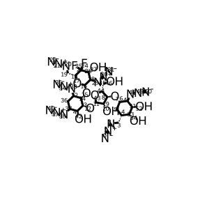 [N-]=[N+]=NC[C@@H]1C[C@H](O[C@H]2[C@@H](O)[C@H](O[C@H]3[C@H](O[C@H]4O[C@H](CN=[N+]=[N-])C(F)(F)[C@H](O)C4N=[N+]=[N-])C(N=[N+]=[N-])CC(N=[N+]=[N-])[C@@H]3O)O[C@@H]2CO)C(N=[N+]=[N-])[C@@H](O)[C@@H]1O